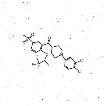 CC(Oc1ccc(S(C)(=O)=O)cc1C(=O)N1CCN(c2ccc(Cl)c(Cl)c2)CC1)C(F)(F)F